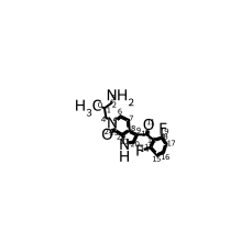 CC(CN)Cn1ccc2c(C(=O)c3c(F)cccc3F)c[nH]c2c1=O